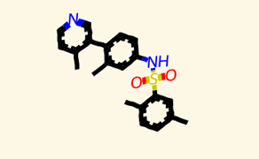 Cc1ccc(C)c(S(=O)(=O)Nc2ccc(-c3cnccc3C)c(C)c2)c1